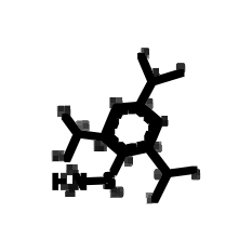 CC(C)c1cc(C(C)C)c(SN)c(C(C)C)c1